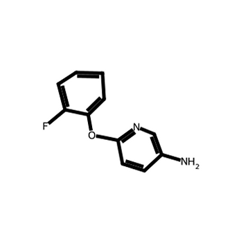 Nc1ccc(Oc2ccccc2F)nc1